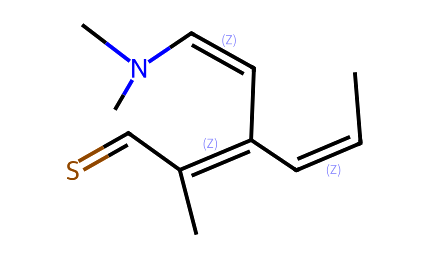 C\C=C/C(/C=C\N(C)C)=C(\C)C=S